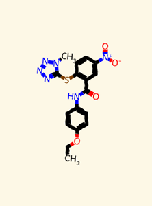 CCOc1ccc(NC(=O)c2cc([N+](=O)[O-])ccc2Sc2nnnn2C)cc1